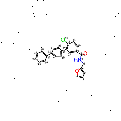 O=C(NCc1ccco1)c1ccc(Cl)c(-c2ccc(-c3ccccc3)cc2)c1